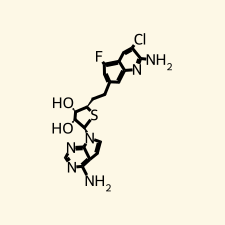 Nc1nc2cc(CC[C@H]3S[C@@H](n4ccc5c(N)ncnc54)[C@H](O)[C@@H]3O)cc(F)c2cc1Cl